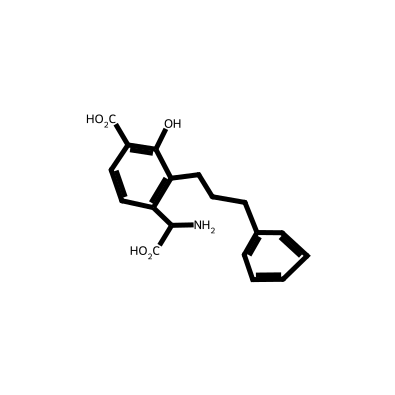 NC(C(=O)O)c1ccc(C(=O)O)c(O)c1CCCc1ccccc1